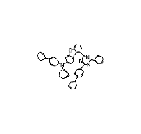 c1ccc(-c2ccc(-c3nc(-c4ccccc4)nc(-c4cccc5oc6cc(N(c7ccccc7)c7ccc(-c8ccccc8)cc7)ccc6c45)n3)cc2)cc1